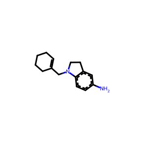 Nc1ccc2c(c1)CCN2CC1=CCCCC1